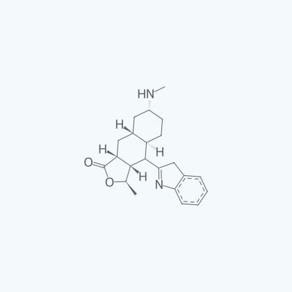 CN[C@@H]1CC[C@H]2C(C3=Nc4ccccc4C3)[C@@H]3[C@@H](C)OC(=O)[C@@H]3C[C@@H]2C1